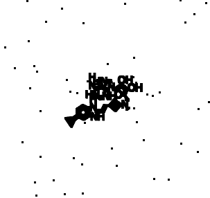 CN(C[C@H]1O[C@@H](N2CNC3C(N)NCNC32)[C@H](O)[C@@H]1O)[C@H]1C[C@H](CCC2Nc3ccc(C4CC4)cc3N2)C1